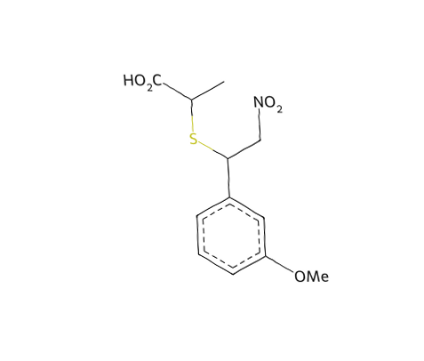 COc1cccc(C(C[N+](=O)[O-])SC(C)C(=O)O)c1